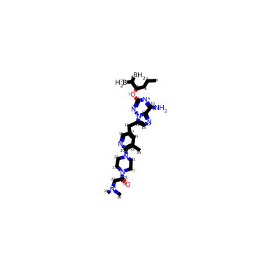 BC(B)C(CCC)Oc1nc(N)c2ncc(Cc3cnc(N4CCN(C(=O)CN(C)C)CC4)c(C)c3)n2n1